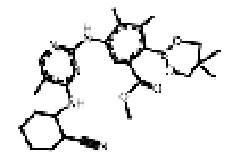 COC(=O)c1cc(Nc2ncc(C)c(NC3CCCCC3C#N)n2)c(C)c(C)c1B1OCC(C)(C)CO1